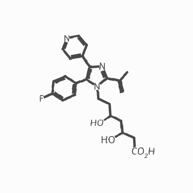 C=C(C)c1nc(-c2ccncc2)c(-c2ccc(F)cc2)n1CCC(O)CC(O)CC(=O)O